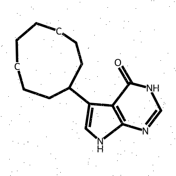 O=c1[nH]cnc2[nH]cc(C3CCCCCCCC3)c12